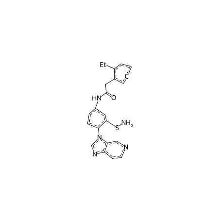 CCc1ccccc1CC(=O)Nc1ccc(-n2cnc3ccncc32)c(SN)c1